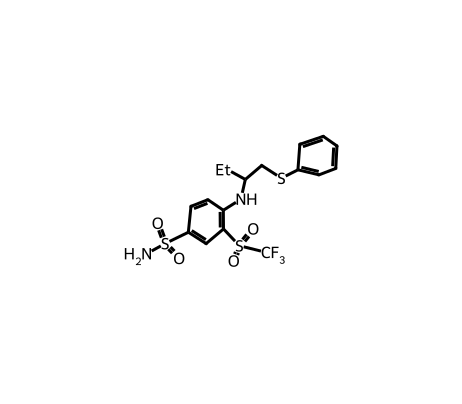 CCC(CSc1ccccc1)Nc1ccc(S(N)(=O)=O)cc1S(=O)(=O)C(F)(F)F